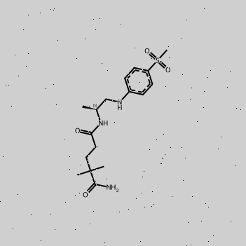 C[C@@H](CNc1ccc(S(C)(=O)=O)cc1)NC(=O)[CH]CC(C)(C)C(N)=O